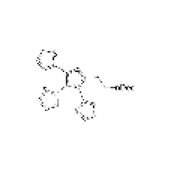 CCCCCCCCCCCCc1sc(-c2cccs2)c(-c2cccs2)c1-c1cccs1